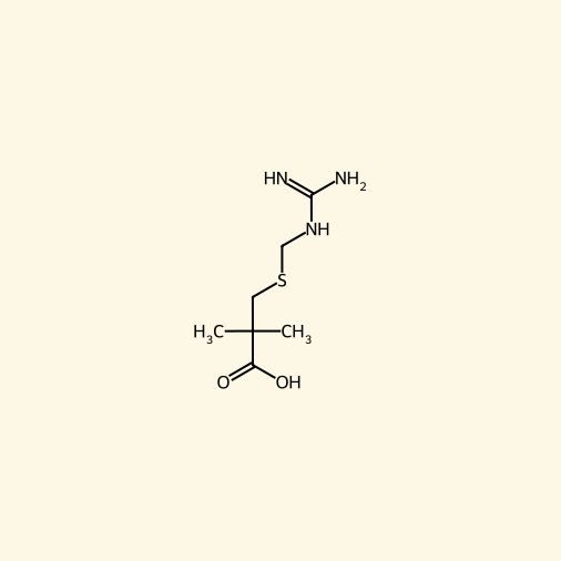 CC(C)(CSCNC(=N)N)C(=O)O